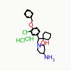 Cl.Cl.NC1CCN(CC(c2ccc(OCc3ccccc3)c(Cl)c2)C2(O)CCCCC2)CC1